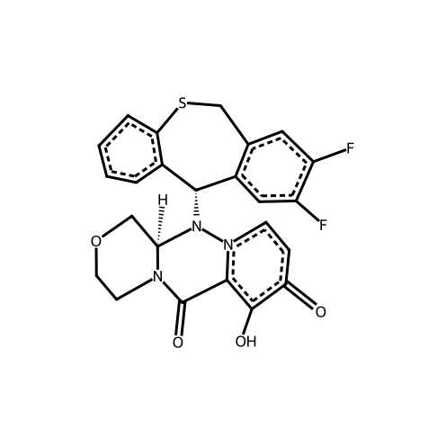 O=C1c2c(O)c(=O)ccn2N([C@H]2c3cc(F)c(F)cc3CSc3ccccc32)[C@@H]2COCCN12